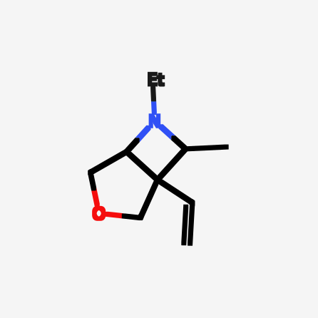 C=CC12COCC1N(CC)C2C